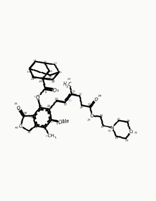 COc1c(C)c2c(c(OC(=O)C34CC5CC(CC(C5)C3)C4)c1C/C=C(\C)CCC(=O)OCCN1CCOCC1)C(=O)OC2